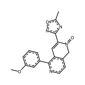 COc1cccc(-c2nccc3c2C=C(c2noc(C)n2)[N+](=O)C3)c1